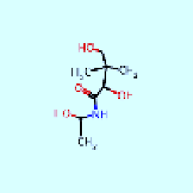 CC(O)NC(=O)C(O)C(C)(C)CO